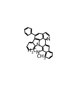 CN(C)c1c2ccccc2cc2c3nccc4cc(-c5ccccc5)c5c6ccccc6n(c12)c5c43